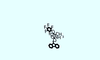 C[C@@H](NC(=O)OCC1c2ccccc2-c2ccccc21)C(=O)Oc1c(F)c(F)c(F)c(F)c1F